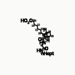 CCCCCCCNC(=O)CNC(=O)[C@H]1[C@@H](CCCCCCC(=O)O)[C@H]2CC[C@@H]1O2